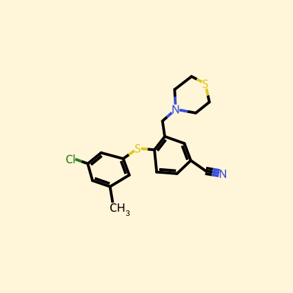 Cc1cc(Cl)cc(Sc2ccc(C#N)cc2CN2CCSCC2)c1